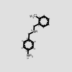 Cc1ccccc1CNCc1ccc(N)cc1